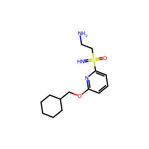 N=S(=O)(CCN)c1cccc(OCC2CCCCC2)n1